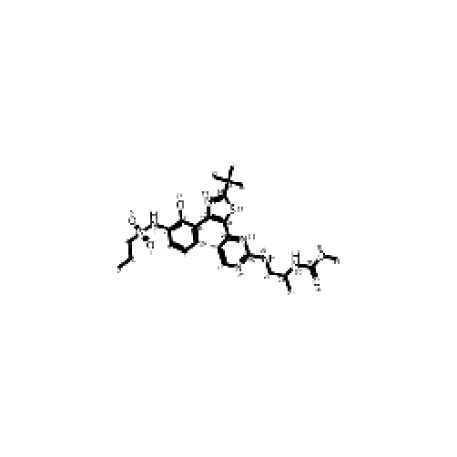 CCCS(=O)(=O)Nc1cccc(-c2nc(C(C)(C)C)sc2-c2ccnc(NCC(C)NC(=O)OC)n2)c1Cl